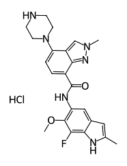 COc1c(NC(=O)c2ccc(N3CCNCC3)c3cn(C)nc23)cc2cc(C)[nH]c2c1F.Cl